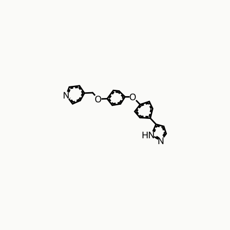 c1cc(COc2ccc(Oc3ccc(-c4ccn[nH]4)cc3)cc2)ccn1